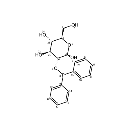 OC[C@H]1O[C@@H](O)[C@H](OP(c2ccccc2)c2ccccc2)[C@@H](O)[C@@H]1O